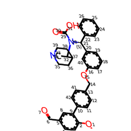 COc1ccc(C=O)cc1-c1ccc(COc2cccc([C@H](c3ccccc3)N(C(=O)O)C3CN4CCC3CC4)c2)cc1